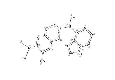 CC(C)N(c1cccc(C=C(C#N)C(=O)N(C)C)c1)c1ncnc2[nH]ccc12